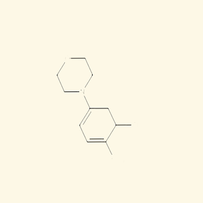 CC1=CC=C(N2CCOCC2)CC1C